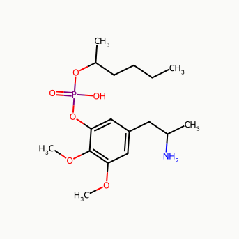 CCCCC(C)OP(=O)(O)Oc1cc(CC(C)N)cc(OC)c1OC